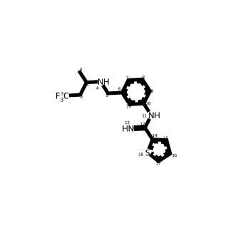 CC(CC(F)(F)F)NCc1cccc(NC(=N)c2cccs2)c1